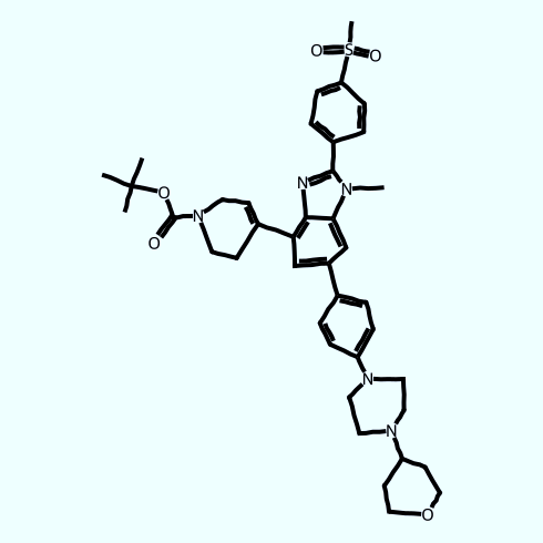 Cn1c(-c2ccc(S(C)(=O)=O)cc2)nc2c(C3=CCN(C(=O)OC(C)(C)C)CC3)cc(-c3ccc(N4CCN(C5CCOCC5)CC4)cc3)cc21